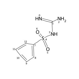 N=C(N)NS(=O)(=O)c1ccccc1